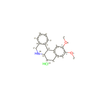 COc1cc2c(cc1OC)C1c3ccccc3CNC1CC2.Cl